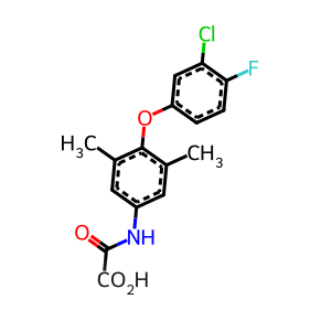 Cc1cc(NC(=O)C(=O)O)cc(C)c1Oc1ccc(F)c(Cl)c1